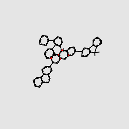 CC1(C)c2ccccc2-c2cc(-c3ccc(N(c4ccc(-c5ccc6c(ccc7ccccc76)c5)cc4)c4cccc(-c5ccccc5)c4-c4ccccc4-c4ccccc4)cc3)ccc21